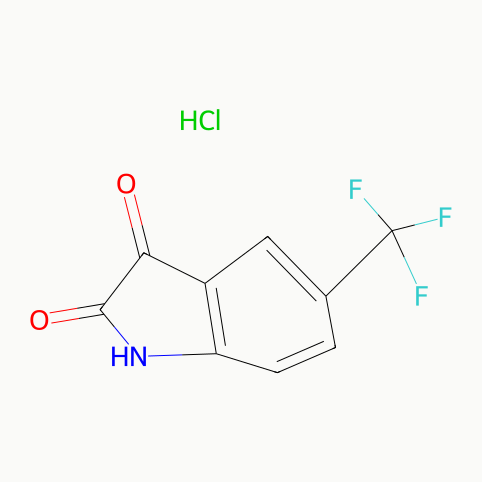 Cl.O=C1Nc2ccc(C(F)(F)F)cc2C1=O